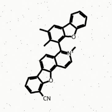 Cc1cc2c(oc3ccccc32)c(-c2c3ccc4c5cccc(C#N)c5oc4c3cc[n+]2C)c1C